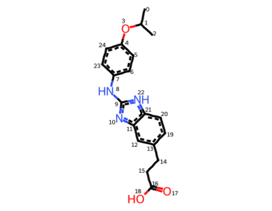 CC(C)Oc1ccc(Nc2nc3cc(CCC(=O)O)ccc3[nH]2)cc1